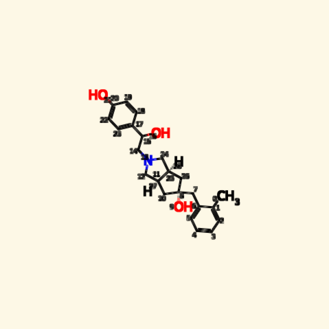 Cc1ccccc1C[C@@]1(O)C[C@H]2CN(CC(O)c3ccc(O)cc3)C[C@H]2C1